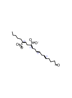 CCCCC/C(=C/C/C(=C/C/C=C/C/C=C/CCC[C]=O)[N+](=O)[O-])[N+](=O)[O-]